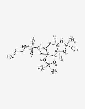 C=CCNS(=O)(=O)OC[C@@]12OC[C@H]3OC(C)(C)O[C@H]3C1OC(C)(C)O2